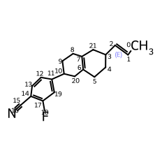 C/C=C/C1CCC2=C(CCC(c3ccc(C#N)c(F)c3)C2)C1